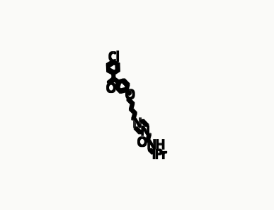 CC(C)CNC(=O)CN1CCN(CCCCCOc2ccc3c(-c4ccc(Cl)cc4)coc3c2)CC1